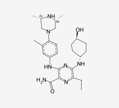 CCc1nc(C(N)=O)c(Nc2ccc(N3C[C@@H](C)N[C@@H](C)C3)c(C)c2)nc1N[C@H]1CC[C@H](O)CC1